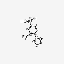 OB(O)c1ccc(C2OCCO2)c(C(F)(F)F)c1